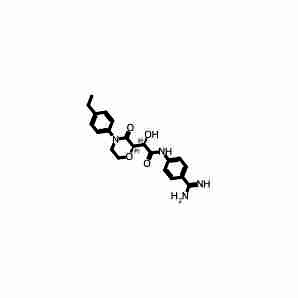 CCc1ccc(N2CCO[C@H]([C@@H](O)C(=O)Nc3ccc(C(=N)N)cc3)C2=O)cc1